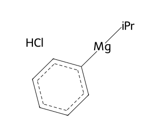 C[CH](C)[Mg][c]1ccccc1.Cl